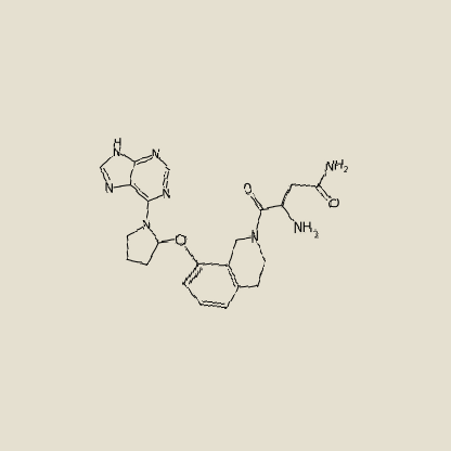 NC(=O)CC(N)C(=O)N1CCc2cccc(OC3CCCN3c3ncnc4[nH]cnc34)c2C1